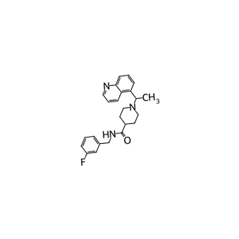 CC(c1cccc2ncccc12)N1CCC(C(=O)NCc2cccc(F)c2)CC1